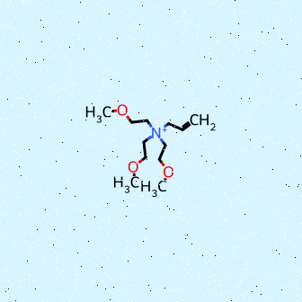 C=CC[N+](CCOC)(CCOC)CCOC